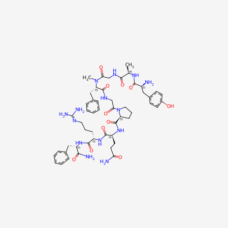 C[C@@H](NC(=O)[C@@H](N)Cc1ccc(O)cc1)C(=O)NCC(=O)N(C)[C@@H](Cc1ccccc1)C(=O)NCC(=O)N1CCC[C@H]1C(=O)N[C@@H](CCC(N)=O)C(=O)N[C@@H](CCCN=C(N)N)C(=O)N[C@@H](Cc1ccccc1)C(N)=O